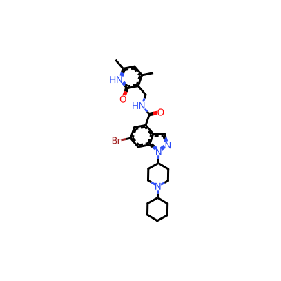 Cc1cc(C)c(CNC(=O)c2cc(Br)cc3c2cnn3C2CCN(C3CCCCC3)CC2)c(=O)[nH]1